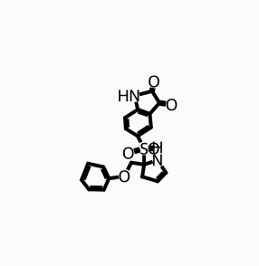 O=C1Nc2ccc(S(=O)(=O)C3(COc4ccccc4)CC=CN3)cc2C1=O